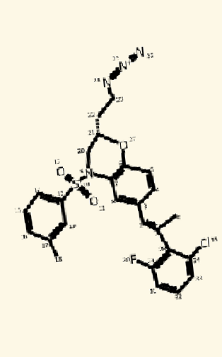 C/C(=C\c1ccc2c(c1)N(S(=O)(=O)c1cccc(C)c1)C[C@H](CCN=[N+]=[N-])O2)c1c(F)cccc1Cl